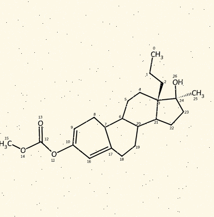 CCC[C@]12CCC3C4CC=C(OC(=O)OC)C=C4CCC3C1CC[C@]2(C)O